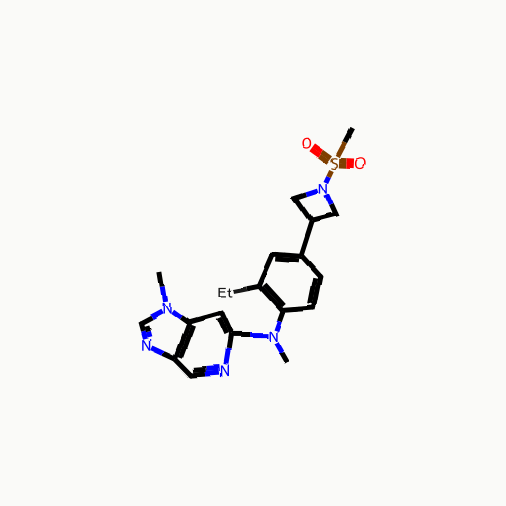 CCc1cc(C2CN(S(C)(=O)=O)C2)ccc1N(C)c1cc2c(cn1)ncn2C